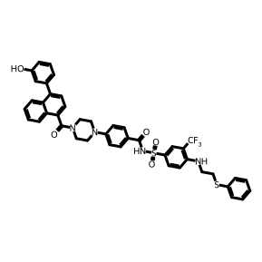 O=C(NS(=O)(=O)c1ccc(NCCSc2ccccc2)c(C(F)(F)F)c1)c1ccc(N2CCN(C(=O)c3ccc(-c4cccc(O)c4)c4ccccc34)CC2)cc1